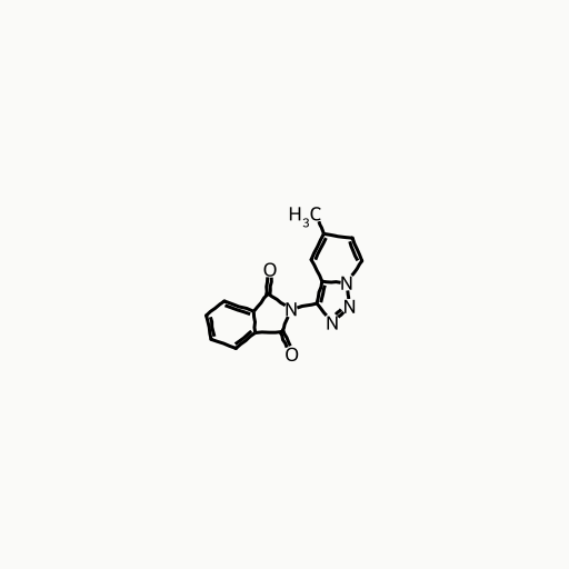 Cc1ccn2nnc(N3C(=O)c4ccccc4C3=O)c2c1